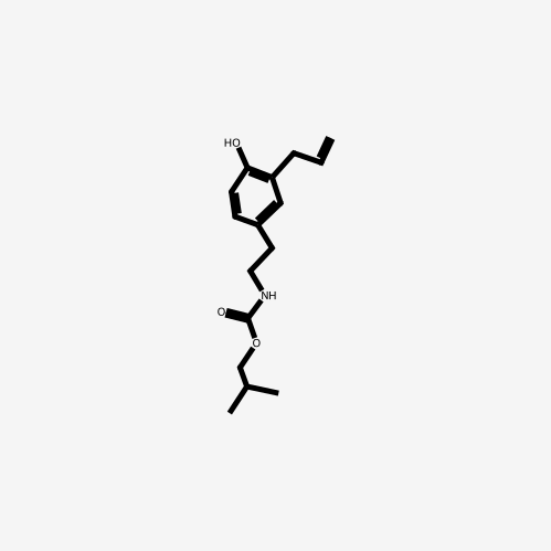 C=CCc1cc(CCNC(=O)OCC(C)C)ccc1O